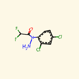 NN(C(=O)C(F)F)c1ccc(Cl)cc1Cl